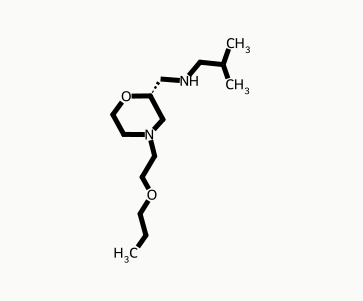 CCCOCCN1CCO[C@H](CNCC(C)C)C1